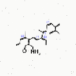 C=C/C=C(/C)C(/C=C/C(=C\C)C(/C)=C/C=C\C(=C)C(=C)C)=C(C=O)CN